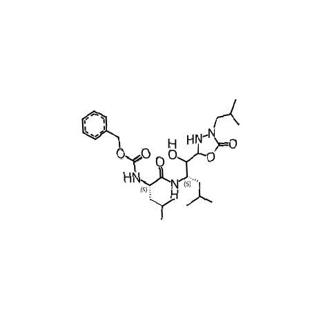 CC(C)C[C@H](NC(=O)OCc1ccccc1)C(=O)N[C@@H](CC(C)C)C(O)C1NN(CC(C)C)C(=O)O1